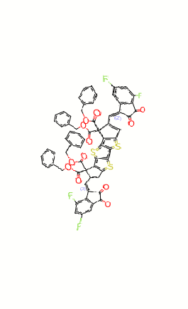 O=C1C(=O)c2c(F)cc(F)cc2/C1=C/C1=Cc2sc3c(sc4c5c(sc43)C=C(/C=C3\C(=O)C(=O)c4cc(F)cc(F)c43)C5(C(=O)OCc3ccccc3)C(=O)OCc3ccccc3)c2C1(C(=O)OCc1ccccc1)C(=O)OCc1ccccc1